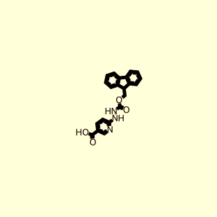 O=C(NNc1ccc(C(=O)O)cn1)OCC1c2ccccc2-c2ccccc21